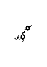 COC(=O)OC1CN(CCOc2ccc(Cl)cc2)CCC1=O